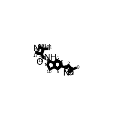 Cc1cc(-c2ccc3c(c2)CC[C@H]3NC(=O)c2cn[nH]c2C)no1